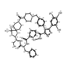 CCNC(=O)c1nnc(-c2cc(C(C)C)c(O)cc2O)n1-c1ccc(CN2CCC(C(=O)N3CCC4(CC3)OB([C@H](CC(C)C)NC(=O)[C@H](Cc3ccccc3)NC(=O)c3cnccn3)OC4(C)C)CC2)cc1